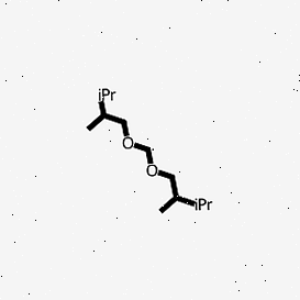 CC(C)C(C)CO[CH]OCC(C)C(C)C